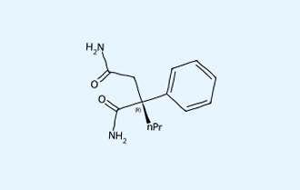 CCC[C@](CC(N)=O)(C(N)=O)c1ccccc1